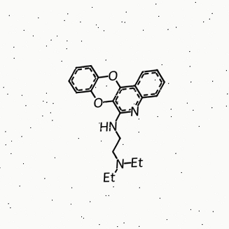 CCN(CC)CCNc1nc2ccccc2c2c1Oc1ccccc1O2